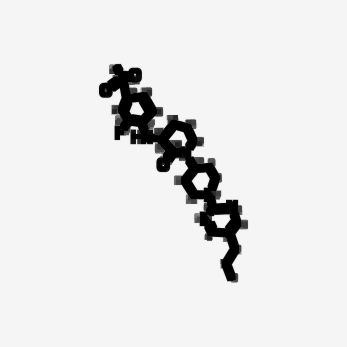 CCCc1cnc(N2CCC(N3CCC[C@H](Nc4ccc(S(C)(=O)=O)cc4F)C3=O)CC2)nc1